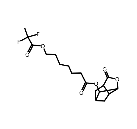 CC(F)(F)C(=O)OCCCCCCC(=O)OC1C2CC3C(=O)OC1C3C2